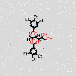 CCc1cc(C2OC[C@@H]3OC(c4cc(CC)c(CC)c(CC)c4)O[C@H]([C@H](O)CO)[C@@H]3O2)cc(CC)c1CC